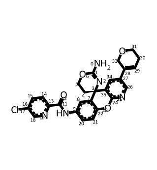 NC1=N[C@@]2(CCO1)c1cc(NC(=O)c3ccc(Cl)cn3)ccc1Oc1ncc(C3=CCCOC3)cc12